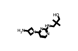 CC(C)(CO)CNc1nccc(N2CC(N)C2)n1